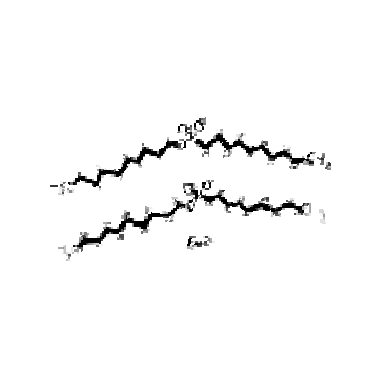 CCCCCCCCCCOP(=O)([O-])CCCCCCCCCC.CCCCCCCCCCOP(=O)([O-])CCCCCCCCCC.[Fe+2]